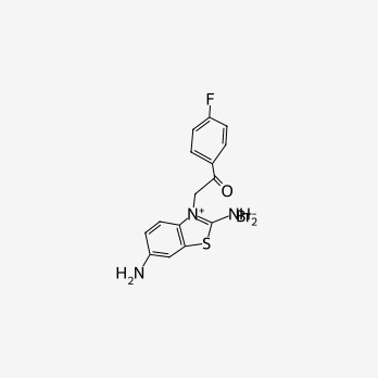 Nc1ccc2c(c1)sc(N)[n+]2CC(=O)c1ccc(F)cc1.[Br-]